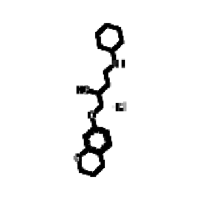 Cl.OC(CCNC1CCCCC1)COc1ccc2c(c1)OCCC2